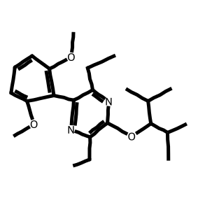 CCc1nc(-c2c(OC)cccc2OC)c(CC)nc1OC(C(C)C)C(C)C